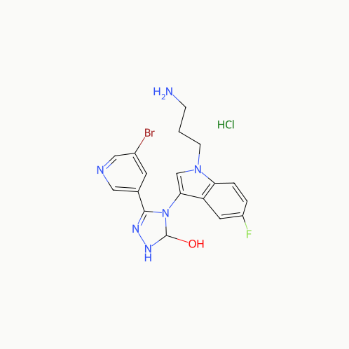 Cl.NCCCn1cc(N2C(c3cncc(Br)c3)=NNC2O)c2cc(F)ccc21